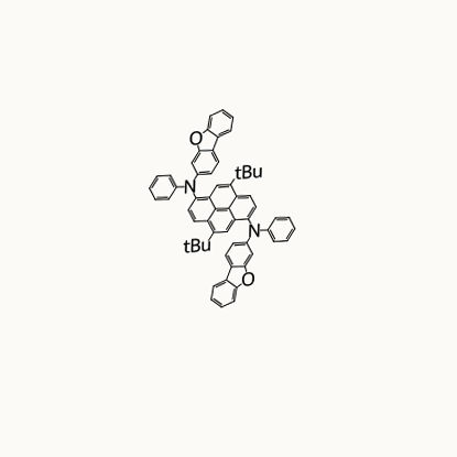 CC(C)(C)c1cc2c(N(c3ccccc3)c3ccc4c(c3)oc3ccccc34)ccc3c(C(C)(C)C)cc4c(N(c5ccccc5)c5ccc6c(c5)oc5ccccc56)ccc1c4c23